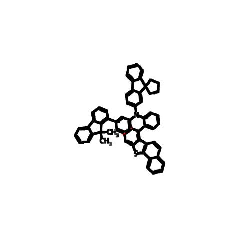 CC1(C)c2ccccc2-c2cccc(-c3cccc(N(c4ccc5c(c4)C4(CCCC4)c4ccccc4-5)c4ccccc4-c4cccc5sc6c7ccccc7ccc6c45)c3)c21